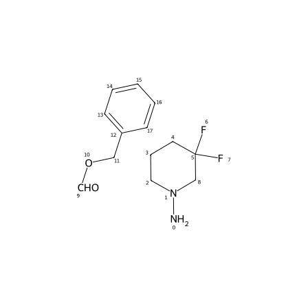 NN1CCCC(F)(F)C1.O=COCc1ccccc1